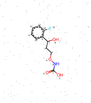 O=C(O)NOCCC(O)c1ccccc1F